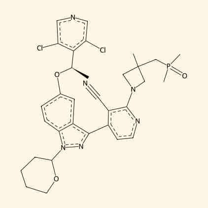 C[C@@H](Oc1ccc2c(c1)c(-c1ccnc(N3CC(C)(CP(C)(C)=O)C3)c1C#N)nn2C1CCCCO1)c1c(Cl)cncc1Cl